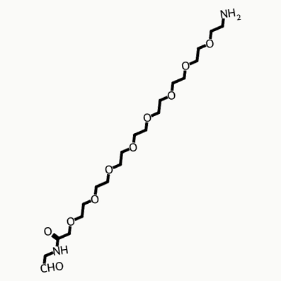 NCCOCCOCCOCCOCCOCCOCCOCCOCC(=O)NCC=O